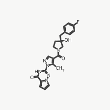 Cc1c(C(=O)N2CCC(O)(Cc3ccc(F)cc3)C2)cnn1-c1nn2cccc2c(=O)[nH]1